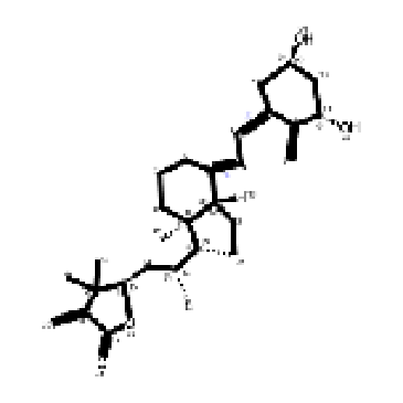 C=C1/C(=C\C=C2/CCC[C@]3(C)[C@@H]([C@H](C)C[C@H]4OC(=O)C(=C)C4(C)C)CC[C@@H]23)C[C@@H](O)C[C@@H]1O